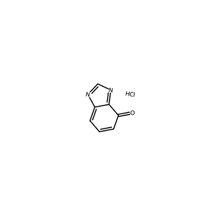 Cl.O=C1C=CC=C2N=CN=C12